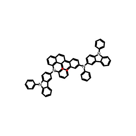 c1ccc(N(c2ccc3c(ccc4c3ccc3cccc(N(c5ccccc5)c5ccc6c(c5)c5ccccc5n6-c5ccccc5)c34)c2)c2ccc3c(c2)c2ccccc2n3-c2ccccc2)cc1